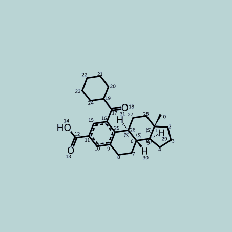 C[C@@]12CCC[C@H]1[C@@H]1CCc3cc(C(=O)O)cc(C(=O)C4CCCCC4)c3[C@H]1CC2